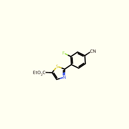 CCOC(=O)c1cnc(-c2ccc(C#N)cc2F)s1